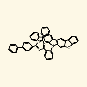 c1ccc(-c2ccc(-c3nc(-c4ccccc4)nc(-c4ccccc4-n4c5cc(-c6ccccc6)ccc5c5cc6c(cc54)oc4ccccc46)n3)cc2)cc1